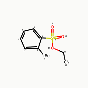 CC(C)(C)c1ccccc1S(=O)(=O)OCC#N